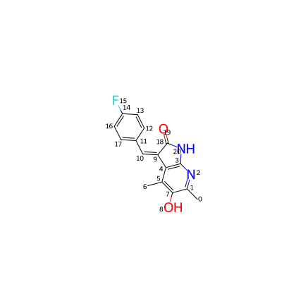 Cc1nc2c(c(C)c1O)C(=Cc1ccc(F)cc1)C(=O)N2